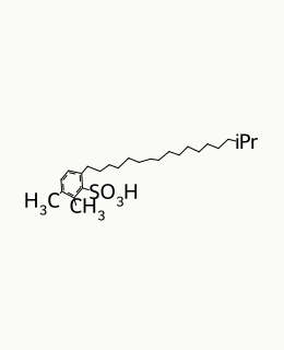 Cc1ccc(CCCCCCCCCCCCCCCC(C)C)c(S(=O)(=O)O)c1C